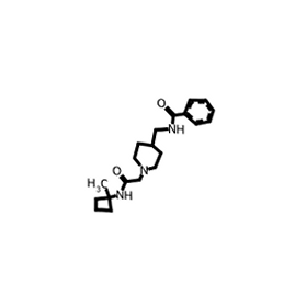 CC1(NC(=O)CN2CCC(CNC(=O)c3ccccc3)CC2)CCC1